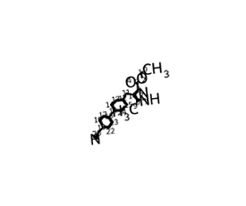 CCOC(=O)c1n[nH]c(C)c1Cc1ccc(-c2ccc(C#N)cc2)cc1